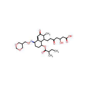 CCC(C)C(=O)OC1CCC(=NOCC2COCOC2)C2=CC(=O)C(C)C(CCC(=O)CC(O)CC(=O)O)C21